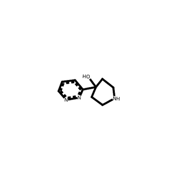 OC1(c2cccnn2)CCNCC1